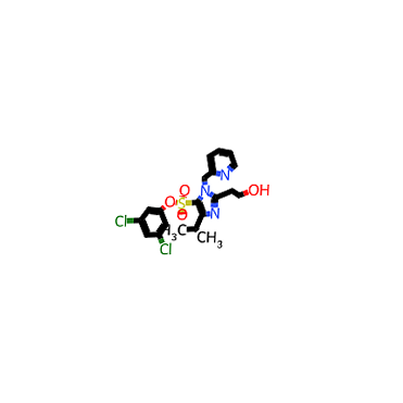 CC(C)c1nc(CCO)n(Cc2ccccn2)c1S(=O)(=O)Oc1cc(Cl)cc(Cl)c1